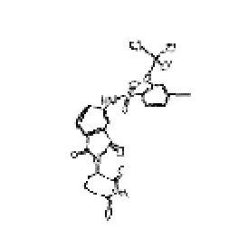 Cc1ccc(S(=O)(=O)Nc2ccc3c(c2)C(=O)N(C2CCC(=O)NC2=O)C3=O)c(OC(Cl)(Cl)Cl)c1